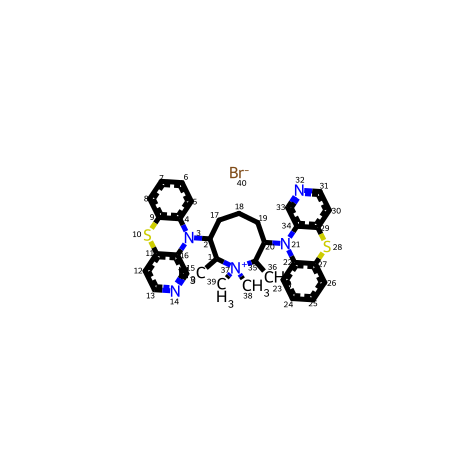 CC1C(N2c3ccccc3Sc3ccncc32)CCCC(N2c3ccccc3Sc3ccncc32)C(C)[N+]1(C)C.[Br-]